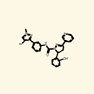 Cn1cc(Br)c(-c2cccc(NC(=O)N3N=C(c4cccnc4)CC3c3ccccc3O)c2)n1